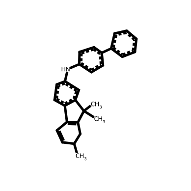 CC1C=CC2=C(C1)C(C)(C)c1cc(Nc3ccc(-c4ccccc4)cc3)ccc12